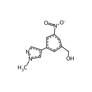 Cn1cc(-c2cc(CO)cc([N+](=O)[O-])c2)cn1